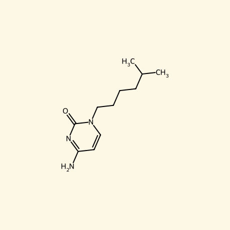 CC(C)CCCCn1ccc(N)nc1=O